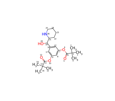 CC(C)(C)C(=O)Oc1cc(OC(=O)C(C)(C)C)cc(C(O)C2CCCCN2)c1